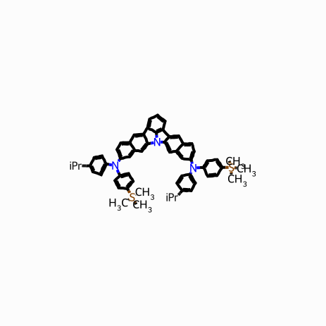 CC(C)c1ccc(N(c2ccc(S(C)(C)C)cc2)c2ccc3cc4c5cccc6c7cc8ccc(N(c9ccc(C(C)C)cc9)c9ccc(S(C)(C)C)cc9)cc8cc7n(c4cc3c2)c56)cc1